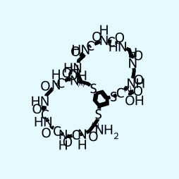 N[C@H]1CSc2cc3cc(c2)SC[C@H](NC(=O)CNC(=O)CNC(=O)CNC(=O)CNC(=O)CNC1=O)C(=O)NCC(=O)NCC(=O)NCC(=O)NCC(=O)NCC(=O)N[C@H](C(=O)O)CS3